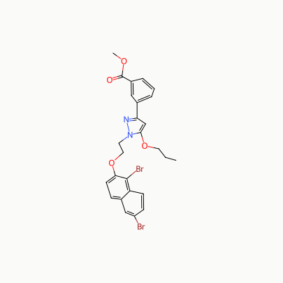 CCCOc1cc(-c2cccc(C(=O)OC)c2)nn1CCOc1ccc2cc(Br)ccc2c1Br